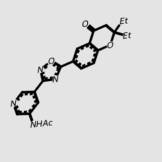 CCC1(CC)CC(=O)c2cc(-c3nc(-c4cncc(NC(C)=O)c4)no3)ccc2O1